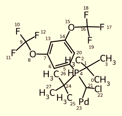 CC(C)(C)[PH](c1cc(OC(F)(F)F)cc(OC(F)(F)F)c1)([CH](Cl)[Pd])C(C)(C)C